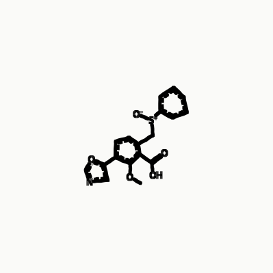 COc1c(-c2cnco2)ccc(C[S+]([O-])c2ccccc2)c1C(=O)O